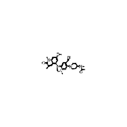 COc1cc(N2CCN(C)c3cc(N4CCC(NC(C)=O)CC4)c(C#N)cc32)c2cc(C)c(=O)n(C)c2c1